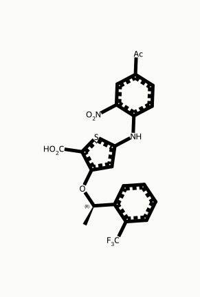 CC(=O)c1ccc(Nc2cc(O[C@H](C)c3ccccc3C(F)(F)F)c(C(=O)O)s2)c([N+](=O)[O-])c1